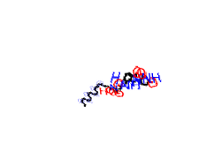 CC/C=C\C/C=C\C/C=C\C/C=C\C/C=C\C/C=C\CCC(=O)N[C@@H](CC(=O)Nc1cccc2c1CN(C1CCC(=O)NC1=O)C2=O)C(=O)O